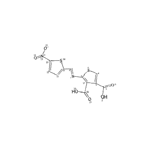 O=C(O)c1csc(N=Cc2ccc([N+](=O)[O-])s2)c1C(=O)O